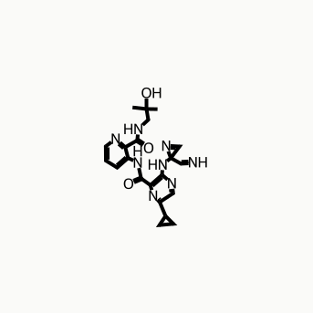 CC(C)(O)CNC(=O)c1ncccc1NC(=O)c1nc(C2CC2)cnc1NC1(C=N)C=N1